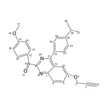 C#CCOc1ccc2nc(C(=O)c3ccc(OC)cc3)nc(-c3ccc(C(C)C)cc3)c2c1